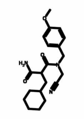 COc1ccc(CN(CC#N)C(=O)C(CC2CCCCC2)C(N)=O)cc1